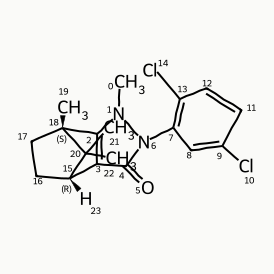 Cn1c2c(c(=O)n1-c1cc(Cl)ccc1Cl)[C@@H]1CC[C@@]2(C)C1(C)C